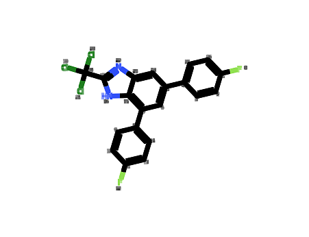 Fc1ccc(-c2cc(-c3ccc(F)cc3)c3[nH]c(C(Cl)(Cl)Cl)nc3c2)cc1